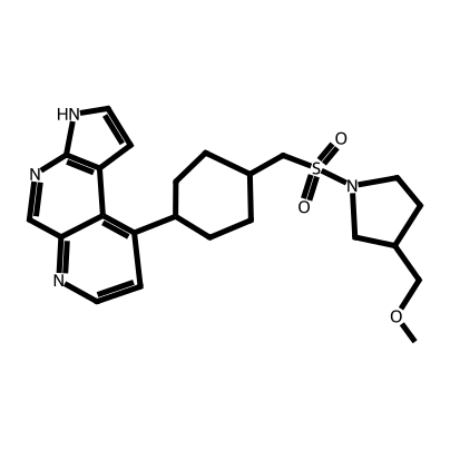 COCC1CCN(S(=O)(=O)CC2CCC(c3ccnc4cnc5[nH]ccc5c34)CC2)C1